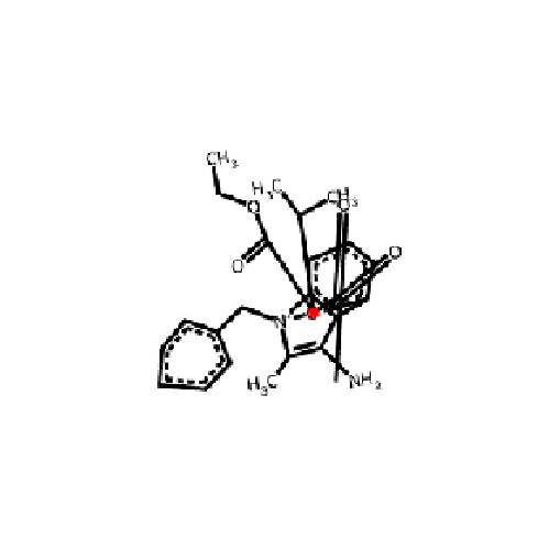 CCOC(=O)C1(C(C)C)O[N+]2(Cc3ccccc3)C(C)=C(N)c3c(cccc32)C(=O)C1=O